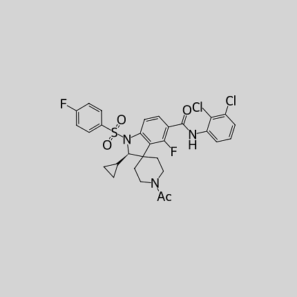 CC(=O)N1CCC2(CC1)c1c(ccc(C(=O)Nc3cccc(Cl)c3Cl)c1F)N(S(=O)(=O)c1ccc(F)cc1)[C@@H]2C1CC1